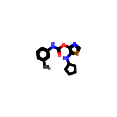 Cc1cccc(NC(=O)Oc2ncsc2NC2CCCC2)c1